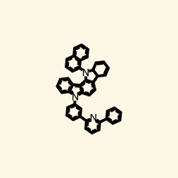 C1=CC2c3ccc4c(c3N(c3cccc5ccccc35)C2C=C1)c1ccccc1n4-c1cccc(-c2cccc(-c3ccccc3)n2)c1